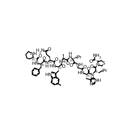 Cc1ccc2[nH]cc(C[C@H](NC(=O)[C@H](CCC(N)=O)NC(=O)[C@@H](Cc3ccccc3)NC(=O)[C@@H]3CCCCN3)C(=O)N[C@@H](C)C(=O)N[C@H](C(=O)NCC(=O)N[C@@H](Cc3c[nH]cn3)C(=O)N[C@@H](CC(C)C)C(=O)N3CSC[C@H]3C(N)=O)C(C)C)c2c1